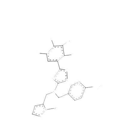 CC(C)n1nccc1CN(Cc1ccc(C(=O)O)nc1)c1noc(-c2cc(F)c(F)c(O)c2F)n1